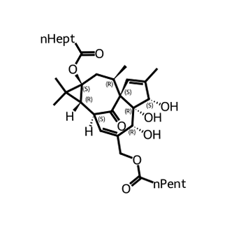 CCCCCCCC(=O)O[C@@]12C[C@@H](C)[C@]34C=C(C)[C@H](O)[C@@]3(O)[C@H](O)C(COC(=O)CCCCC)=C[C@H](C4=O)[C@@H]1C2(C)C